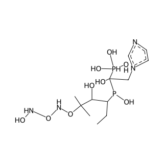 CCC(C(O)C(C)(C)ONONO)P(O)C(O)(Cn1ccnc1)[PH](O)(O)O